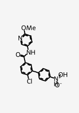 COc1ccc(NC(=O)c2ccc(Cl)c(-c3ccc([NH+]([O-])O)cc3)c2)cn1